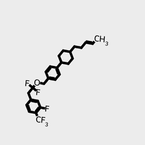 CC=CCCC1CCC(c2ccc(COC(F)(F)Cc3ccc(C(F)(F)F)c(F)c3)cc2)CC1